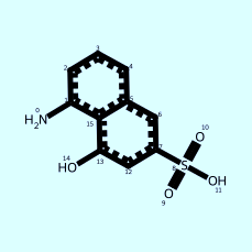 Nc1cccc2cc(S(=O)(=O)O)cc(O)c12